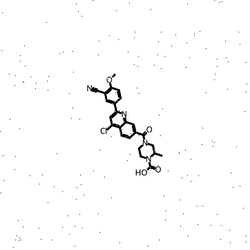 COc1ccc(-c2cc(Cl)c3ccc(C(=O)N4CCN(C(=O)O)C(C)C4)cc3n2)cc1C#N